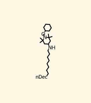 CCCCCCCCCCCCCCCCCCNC1CC(C)(C)N(OC2CCCCC2)C(C)(C)C1